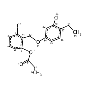 CCC(=O)Oc1cccc(I)c1COc1ccc(CC)c(Cl)c1